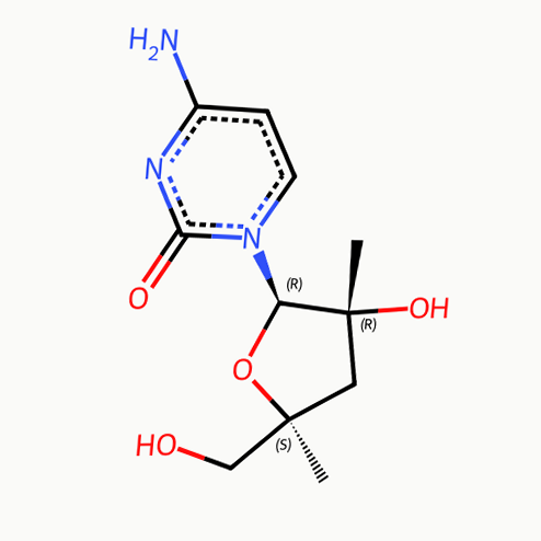 C[C@@]1(CO)C[C@@](C)(O)[C@H](n2ccc(N)nc2=O)O1